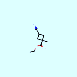 CCOC(=O)C1(C)CC(C#N)C1